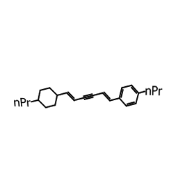 CCCc1ccc(C=CC#CC=CC2CCC(CCC)CC2)cc1